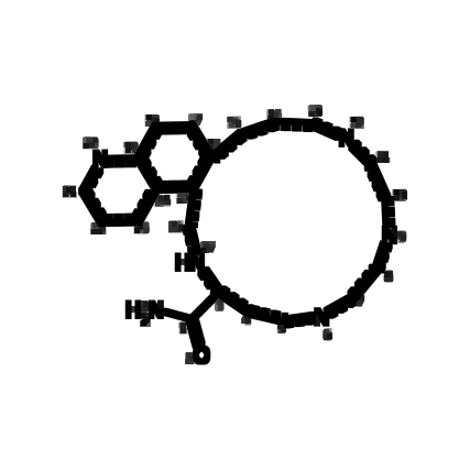 NC(=O)c1ccnccnccncccc2ccc3ncccc3c2c[nH]1